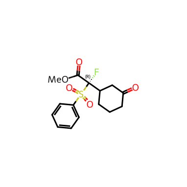 COC(=O)[C@@](F)(C1CCCC(=O)C1)S(=O)(=O)c1ccccc1